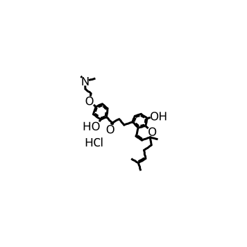 CC(C)=CCCC1(C)C=Cc2c(CCC(=O)c3ccc(OCCN(C)C)cc3O)ccc(O)c2O1.Cl